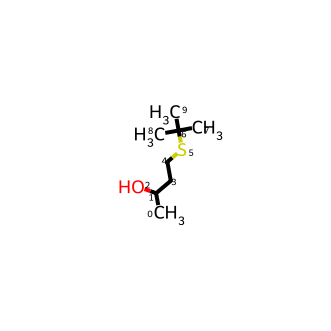 CC(O)CCSC(C)(C)C